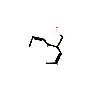 BCC(/C=C\C)C/C=C\C